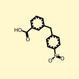 O=C(O)c1cccc(Cc2ccc([N+](=O)[O-])cc2)c1